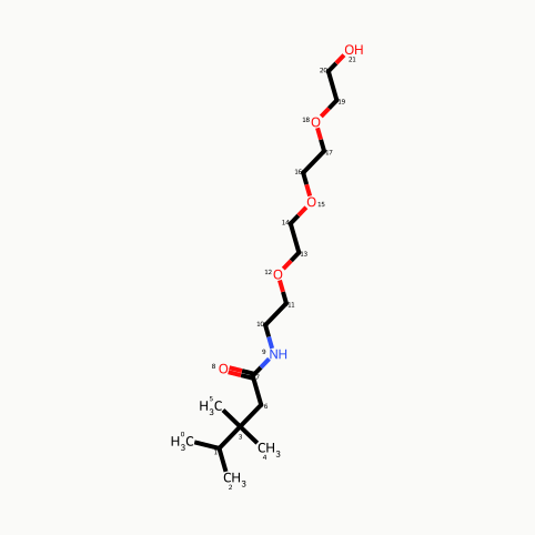 CC(C)C(C)(C)CC(=O)NCCOCCOCCOCCO